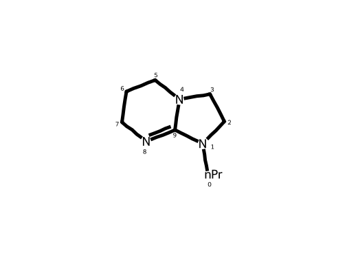 CCCN1CCN2CCCN=C12